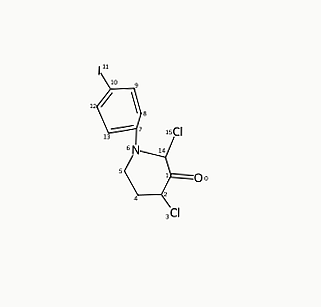 O=C1C(Cl)CCN(c2ccc(I)cc2)C1Cl